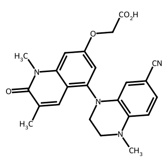 Cc1cc2c(N3CCN(C)c4ccc(C#N)cc43)cc(OCC(=O)O)cc2n(C)c1=O